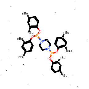 CCCCc1ccc(OP(Oc2ccc(CCCC)cc2CCCC)N2CCN(P(Oc3ccc(CCCC)cc3CCCC)Oc3ccc(CCCC)cc3CCCC)CC2)c(CCCC)c1